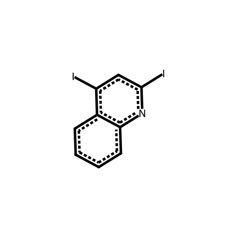 Ic1cc(I)c2ccccc2n1